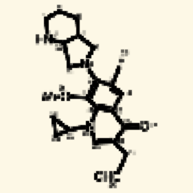 COc1c(N2CC3CCCNC3C2)c(F)cc2c(=O)c(CC=O)cn(C3CC3)c12